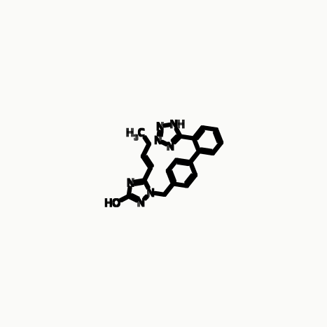 CCC=Cc1nc(O)nn1Cc1ccc(-c2ccccc2-c2nnn[nH]2)cc1